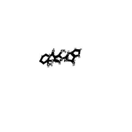 Cc1c(C(=O)N2CCCCC2(C)C)cnn1-c1nc2ccsc2c(=O)[nH]1